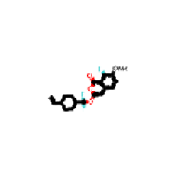 C=CC1CCC(C(F)(F)Oc2cc3ccc(OC)c(F)c3c(=O)o2)CC1